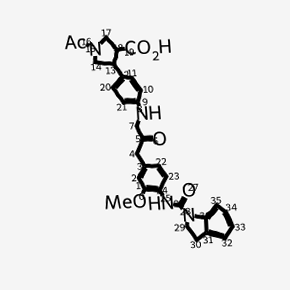 COc1cc(CC(=O)CNc2ccc(C3CN(C(C)=O)CC3C(=O)O)cc2)ccc1NC(=O)N1CCc2ccccc21